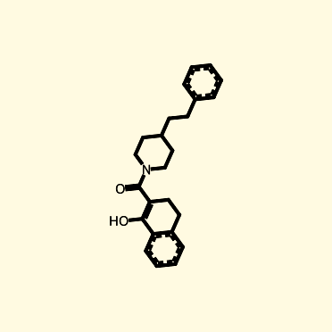 O=C(C1=C(O)c2ccccc2CC1)N1CCC(CCc2ccccc2)CC1